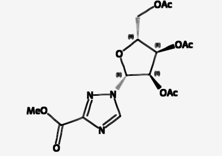 COC(=O)c1ncn([C@@H]2O[C@H](COC(C)=O)[C@@H](OC(C)=O)[C@H]2OC(C)=O)n1